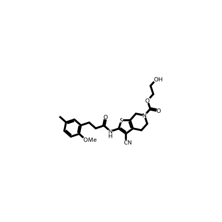 COc1ccc(C)cc1CCC(=O)Nc1sc2c(c1C#N)CCN(C(=O)OCCO)C2